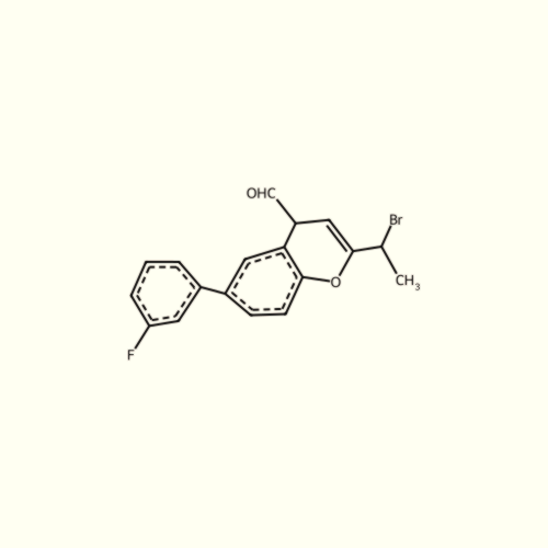 CC(Br)C1=CC(C=O)c2cc(-c3cccc(F)c3)ccc2O1